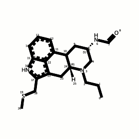 CCCN1C[C@@H](NC=O)CC2c3cccc4[nH]c(CSC)c(c34)C[C@H]21